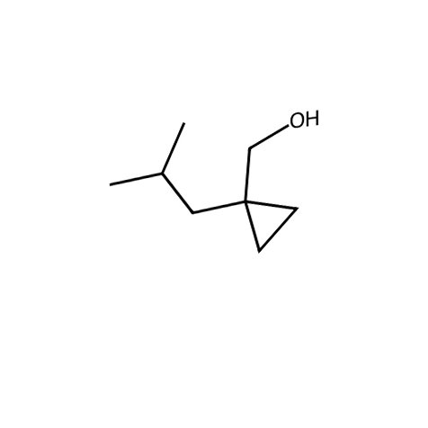 CC(C)CC1(CO)CC1